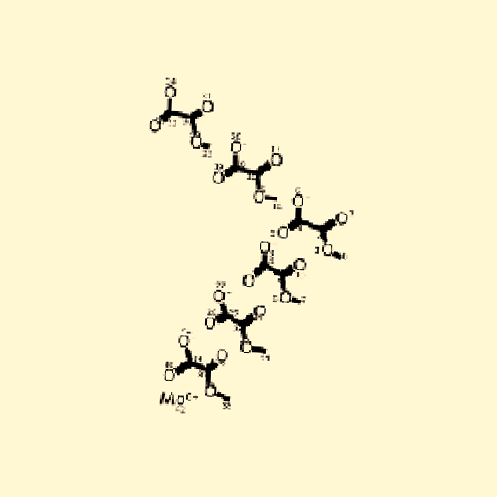 COC(=O)C(=O)[O-].COC(=O)C(=O)[O-].COC(=O)C(=O)[O-].COC(=O)C(=O)[O-].COC(=O)C(=O)[O-].COC(=O)C(=O)[O-].[Mo+6]